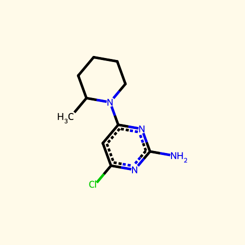 CC1CCCCN1c1cc(Cl)nc(N)n1